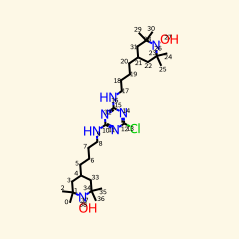 CC1(C)CC(CCCCNc2nc(Cl)nc(NCCCCC3CC(C)(C)N(O)C(C)(C)C3)n2)CC(C)(C)N1O